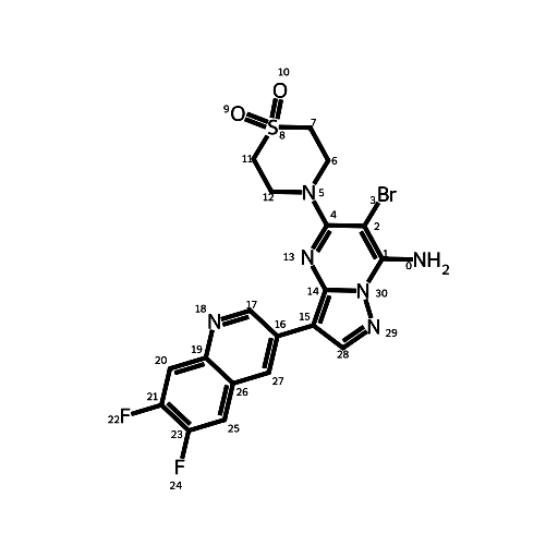 Nc1c(Br)c(N2CCS(=O)(=O)CC2)nc2c(-c3cnc4cc(F)c(F)cc4c3)cnn12